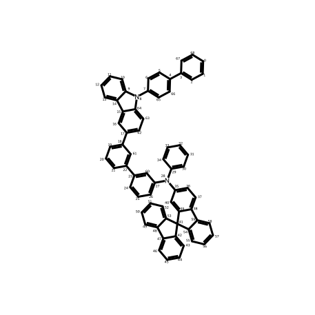 c1ccc(-c2ccc(-n3c4ccccc4c4cc(-c5cccc(-c6cccc(N(c7ccccc7)c7ccc8c(c7)C7(c9ccccc9-c9ccccc97)c7ccccc7-8)c6)c5)ccc43)cc2)cc1